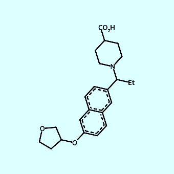 CCC(c1ccc2cc(OC3CCOC3)ccc2c1)N1CCC(C(=O)O)CC1